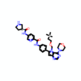 C[Si](C)(C)CCOCn1c(-c2ccc(NC(=O)c3ccc(NC(=O)[C@H]4CCNC4)cn3)cc2)cc2ncnc(N3CCOCC3)c21